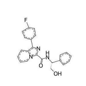 O=C(N[C@@H](CO)c1ccccc1)c1nc(-c2ccc(F)cc2)c2ccccn12